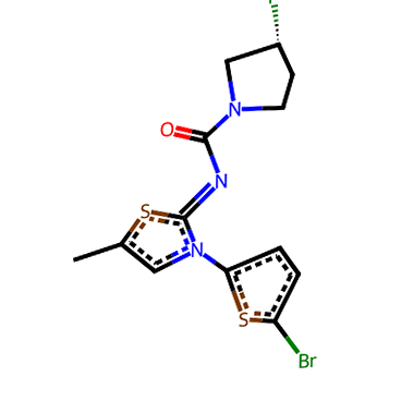 Cc1cn(-c2ccc(Br)s2)c(=NC(=O)N2CC[C@@H](F)C2)s1